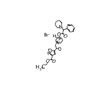 CCOC(=O)c1cc(C(=O)C[N+]23CCC(CC2)[C@@H](OC(=O)C(c2ccccc2)N2CCCCC2)C3)on1.[Br-]